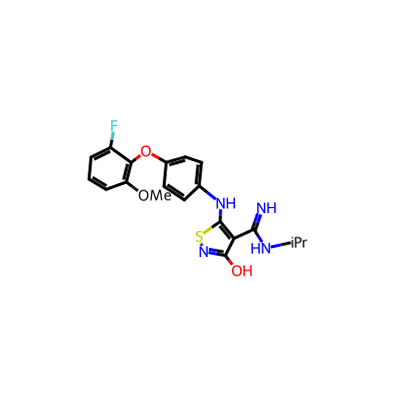 COc1cccc(F)c1Oc1ccc(Nc2snc(O)c2C(=N)NC(C)C)cc1